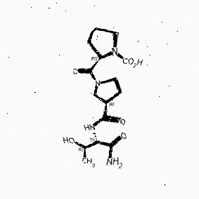 C[C@@H](O)[C@H](NC(=O)[C@@H]1CCN(C(=O)[C@H]2CCCN2C(=O)O)C1)C(N)=O